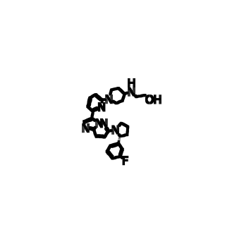 OCCNC1CCN(c2cccc(-c3cnc4ccc(N5CCC[C@@H]5c5cccc(F)c5)nn34)n2)CC1